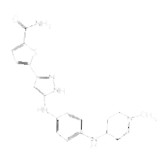 CN1CCC(Nc2ccc(Nc3cc(-c4ccc(C(N)=O)s4)n[nH]3)cc2)CC1